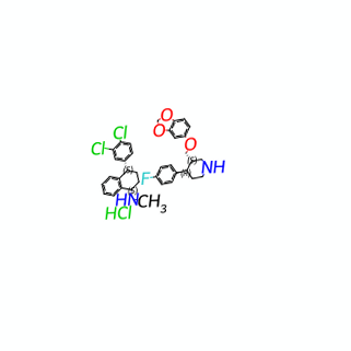 CN[C@H]1CC[C@@H](c2ccc(Cl)c(Cl)c2)c2ccccc21.Cl.Fc1ccc([C@@H]2CCNC[C@H]2COc2ccc3c(c2)OCO3)cc1